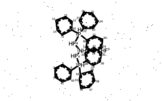 F.c1ccc([PH](PNP[PH](c2ccccc2)(c2ccccc2)c2ccccc2)(c2ccccc2)c2ccccc2)cc1